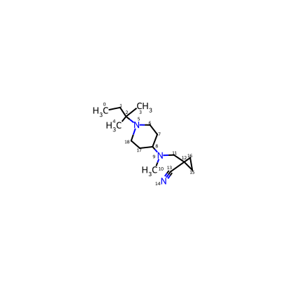 CCC(C)(C)N1CCC(N(C)CC2(C#N)CC2)CC1